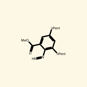 CCCCCc1cc(CCCCC)c(N=N)c(C(=O)OC)c1